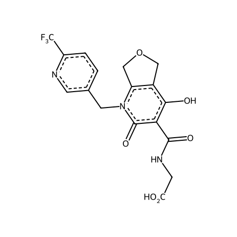 O=C(O)CNC(=O)c1c(O)c2c(n(Cc3ccc(C(F)(F)F)nc3)c1=O)COC2